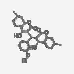 CCOc1cccc(C(c2c(O)c3ccc(C)cc3oc2=O)c2c(O)c3ccc(C)cc3oc2=O)c1